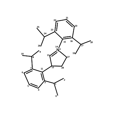 CC(C)c1cccc(C(C)C)c1C1C=[N+](c2c(C(C)C)cccc2C(C)C)CC1